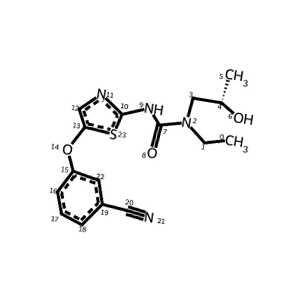 CCN(C[C@H](C)O)C(=O)Nc1ncc(Oc2cccc(C#N)c2)s1